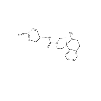 COc1ccc(NC(=S)N2CCC3(CC2)c2ccccc2CCN3C)cn1